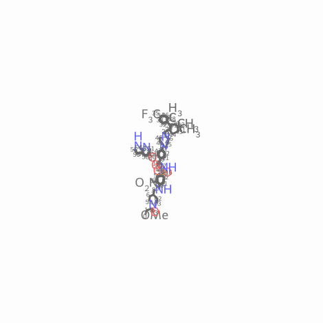 COCC(=O)N1CCC(CNc2ccc(S(=O)(=O)NC(=O)c3ccc(N4CCN(CC5=C(c6ccc(C(F)(F)F)cc6C)CC(C)(C)CC5)CC4)cc3Oc3cnc4[nH]ccc4c3)cc2[N+](=O)[O-])CC1